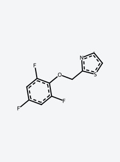 Fc1cc(F)c(OCc2n[c]cs2)c(F)c1